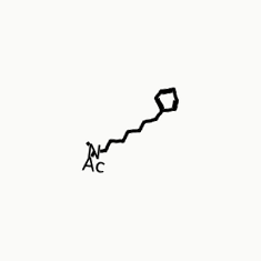 CC(=O)N(C)CCCCCCCc1ccccc1